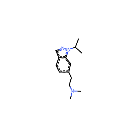 CC(C)n1ncc2ccc(CCN(C)C)cc21